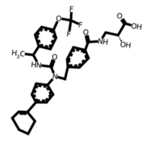 CC(NC(=O)N(Cc1ccc(C(=O)NC[C@@H](O)C(=O)O)cc1)c1ccc(C2=CCCCC2)cc1)c1ccc(OC(F)(F)F)cc1